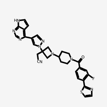 N#CCC1(n2cc(-c3ncnc4[nH]ccc34)cn2)CN(C2CCN(C(=O)c3ccc(-c4nccs4)c(F)c3)CC2)C1